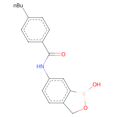 CCCCc1ccc(C(=O)Nc2ccc3c(c2)B(O)OC3)cc1